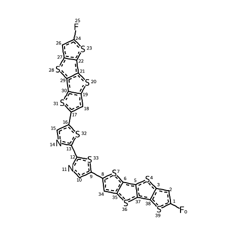 Fc1cc2sc3c4sc(-c5cnc(-c6ncc(-c7cc8sc9c%10sc(F)cc%10sc9c8s7)s6)s5)cc4sc3c2s1